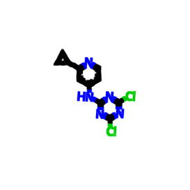 Clc1nc(Cl)nc(Nc2ccnc(C3CC3)c2)n1